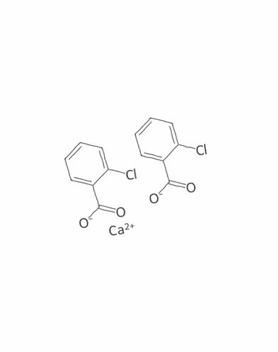 O=C([O-])c1ccccc1Cl.O=C([O-])c1ccccc1Cl.[Ca+2]